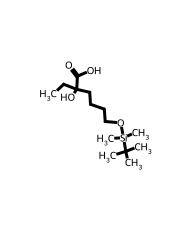 CCC(O)(CCCCO[Si](C)(C)C(C)(C)C)C(=O)O